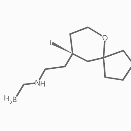 BCNCC[C@]1(I)CCOC2(CCCC2)C1